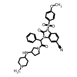 COc1ccc(S(=O)(=O)n2c(=O)n(C(C(=O)N3CCC(NC4CCN(C)CC4)C3)c3ccccc3)c3cc(C#N)ccc32)cc1